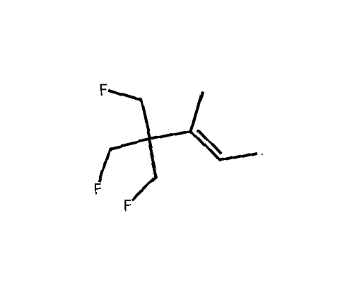 [CH2]/C=C(\C)C(CF)(CF)CF